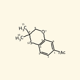 CC(=O)c1ccc2c(c1)OCC(C)(C)S2